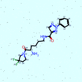 N[C@@H](CCCCNC(=O)c1cnn(-c2ccccc2)n1)C(=O)N1CCC(F)(F)C1